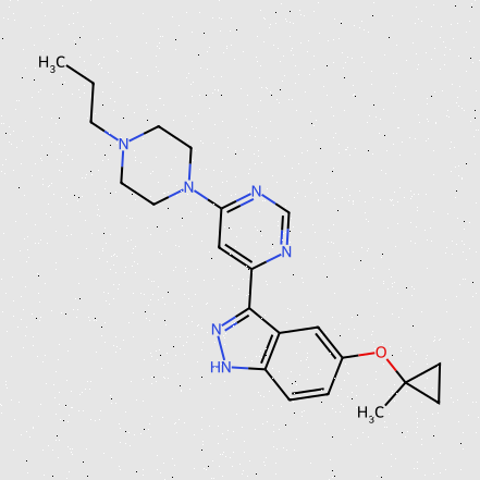 CCCN1CCN(c2cc(-c3n[nH]c4ccc(OC5(C)CC5)cc34)ncn2)CC1